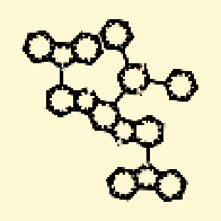 c1ccc(-c2cc(-c3c4oc5c(-n6c7ccccc7c7ccccc76)cccc5c4cc4oc5c(-n6c7ccccc7c7ccccc76)cccc5c34)nc(-c3ccccc3)n2)cc1